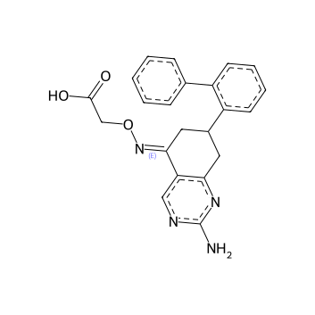 Nc1ncc2c(n1)CC(c1ccccc1-c1ccccc1)C/C2=N\OCC(=O)O